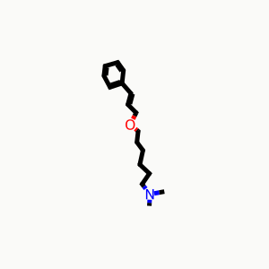 CN(C)CCCCCCOCC=Cc1ccccc1